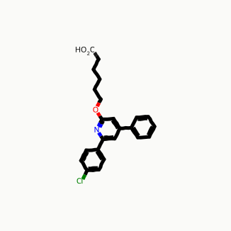 O=C(O)CCCCCOc1cc(-c2ccccc2)cc(-c2ccc(Cl)cc2)n1